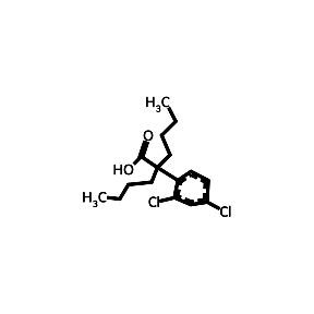 CCCCC(CCCC)(C(=O)O)c1ccc(Cl)cc1Cl